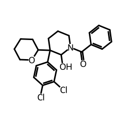 O=C(c1ccccc1)N1CCCC(c2ccc(Cl)c(Cl)c2)(C2CCCCO2)C1O